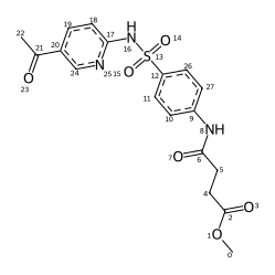 COC(=O)CCC(=O)Nc1ccc(S(=O)(=O)Nc2ccc(C(C)=O)cn2)cc1